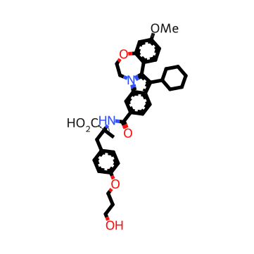 COc1ccc2c(c1)OCCn1c-2c(C2CCCCC2)c2ccc(C(=O)N[C@@](C)(Cc3ccc(OCCCO)cc3)C(=O)O)cc21